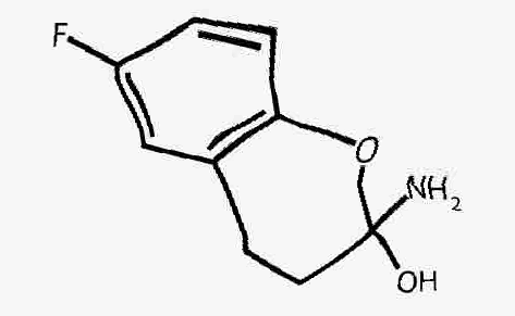 NC1(O)CCc2cc(F)ccc2O1